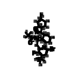 CC(C)(C)[S@+]([O-])NC(Cc1nc(Br)cc([Si](C)(C)C)c1F)c1ccccc1-c1noc2cc(F)ccc12